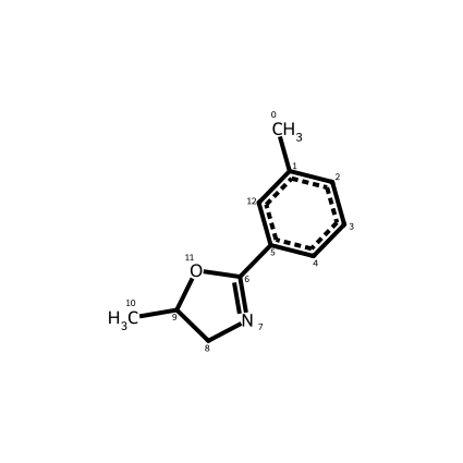 Cc1cccc(C2=NCC(C)O2)c1